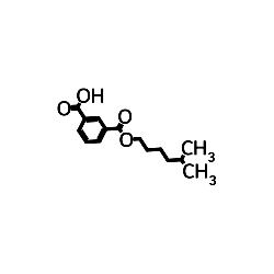 CC(C)CCCCOC(=O)c1cccc(C(=O)O)c1